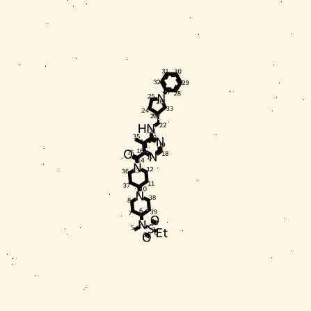 CCS(=O)(=O)N(C)C1CCN(C2CCN(C(=O)c3ncnc(NC[C@H]4CCN(c5ccccc5)C4)c3C)CC2)CC1